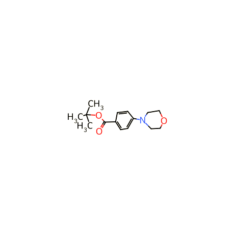 CC(C)(C)OC(=O)c1ccc(N2CCOCC2)cc1